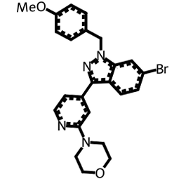 COc1ccc(Cn2nc(-c3ccnc(N4CCOCC4)c3)c3ccc(Br)cc32)cc1